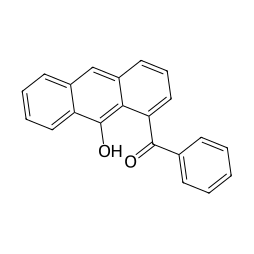 O=C(c1ccccc1)c1cccc2cc3ccccc3c(O)c12